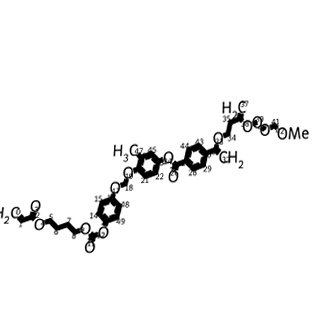 C=CC(=O)OCCCCOC(=O)Oc1ccc(OCOc2ccc(OC(=O)c3ccc(C(=C)OCCC(=C)OOOCOC)cc3)cc2C)cc1